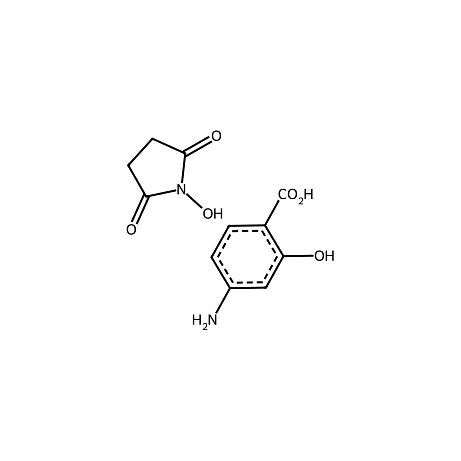 Nc1ccc(C(=O)O)c(O)c1.O=C1CCC(=O)N1O